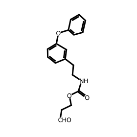 O=CCCOC(=O)NCCc1cccc(Oc2ccccc2)c1